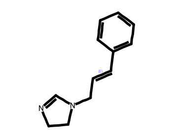 C1=NCCN1C/C=C/c1ccccc1